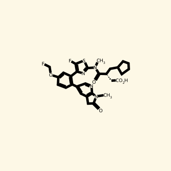 CN(C(=O)[C@@H](CC(=O)O)CC1CCCC1)c1nc(-c2cc(OCF)ccc2-c2cnc3c(c2)CC(=O)N3C)c(F)s1